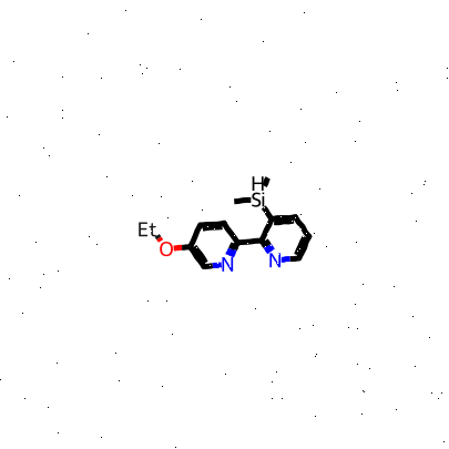 CCOc1ccc(-c2ncccc2[SiH](C)C)nc1